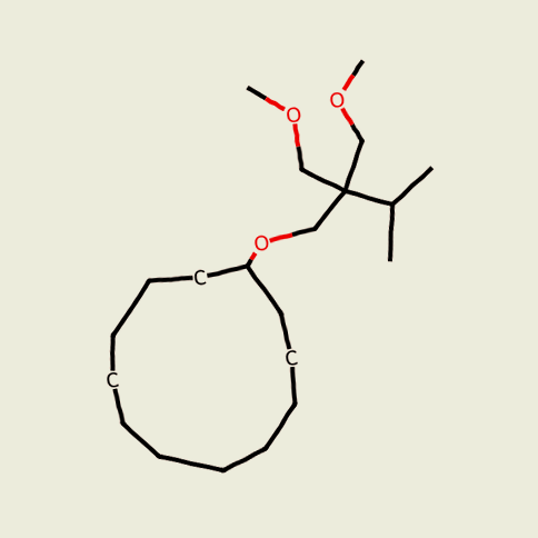 COCC(COC)(COC1CCCCCCCCCCC1)C(C)C